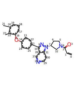 C=CC(=O)N1CC[C@@H](n2nc(-c3ccc(Oc4cccc(C)c4C)cc3)c3cnccc32)C1